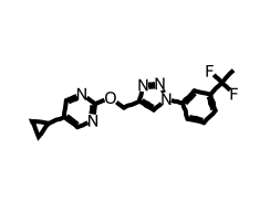 CC(F)(F)c1cccc(-n2cc(COc3ncc(C4CC4)cn3)nn2)c1